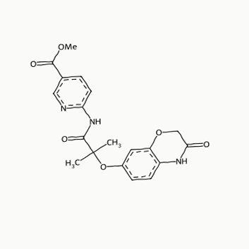 COC(=O)c1ccc(NC(=O)C(C)(C)Oc2ccc3c(c2)OCC(=O)N3)nc1